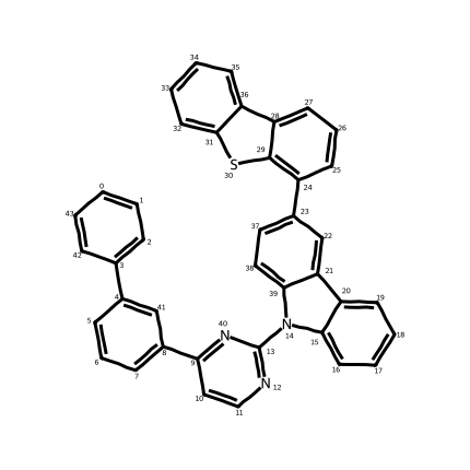 c1ccc(-c2cccc(-c3ccnc(-n4c5ccccc5c5cc(-c6cccc7c6sc6ccccc67)ccc54)n3)c2)cc1